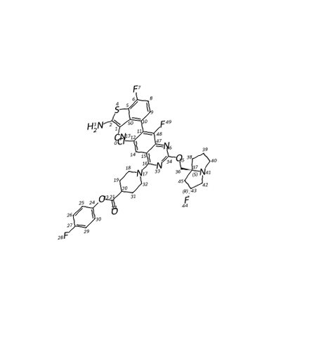 N#Cc1c(N)sc2c(F)ccc(-c3c(Cl)cc4c(N5CCC(C(=O)Oc6ccc(F)cc6)CC5)nc(OC[C@@]56CCCN5C[C@H](F)C6)nc4c3F)c12